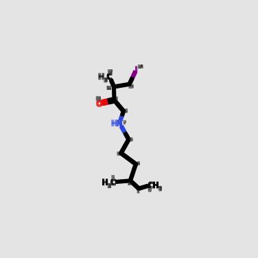 CCC(C)CCCNCC(=O)C(C)CI